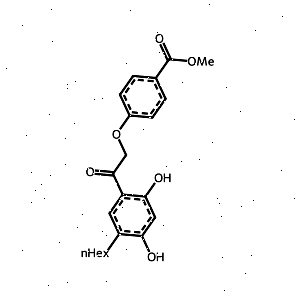 CCCCCCc1cc(C(=O)COc2ccc(C(=O)OC)cc2)c(O)cc1O